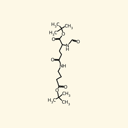 CC(C)(C)OC(=O)CCCNC(=O)CCC(NC=O)C(=O)OC(C)(C)C